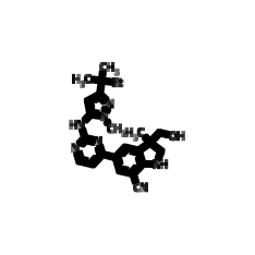 CCC(C)(C)c1cc(Nc2nccc(-c3cc(C#N)c4c(c3)C(C)(CO)CN4)n2)n(C)n1